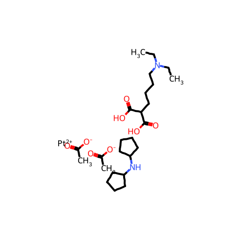 C1CCC(NC2CCCC2)C1.CC(=O)[O-].CC(=O)[O-].CCN(CC)CCCCC(C(=O)O)C(=O)O.[Pt+2]